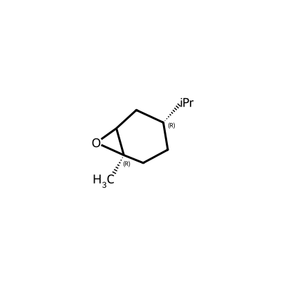 CC(C)[C@@H]1CC[C@@]2(C)OC2C1